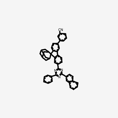 N#Cc1cccc(-c2ccc3c(c2)-c2ccc(-c4nc(-c5ccccc5)nc(-c5ccc6ccccc6c5)n4)cc2C32C3CC4CC(C3)CC2C4)c1